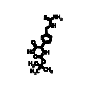 CC(C)(C)OC(=O)NC(C(=O)O)c1ccc(CNC(N)=S)s1